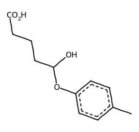 Cc1ccc(OC(O)CCCC(=O)O)cc1